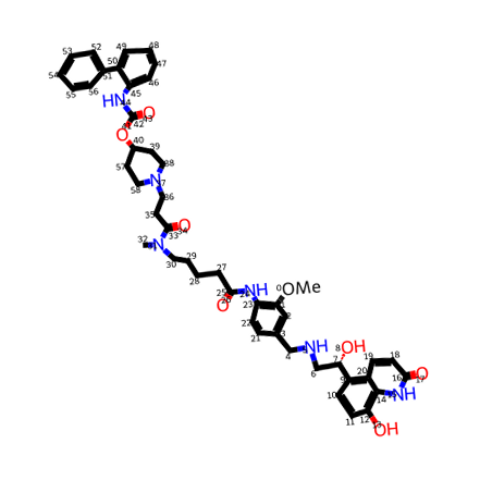 COc1cc(CNC[C@H](O)c2ccc(O)c3[nH]c(=O)ccc23)ccc1NC(=O)CCCCN(C)C(=O)CCN1CCC(OC(=O)Nc2ccccc2-c2ccccc2)CC1